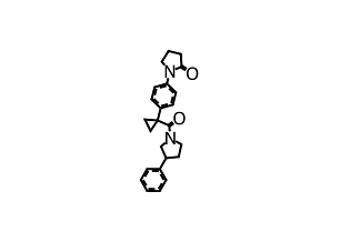 O=C1CCCN1c1ccc(C2(C(=O)N3CCC(c4ccccc4)C3)CC2)cc1